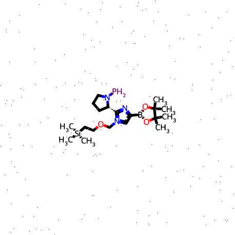 CC1(C)OB(c2cn(COCC[Si](C)(C)C)c([C@@H]3CCCN3P)n2)OC1(C)C